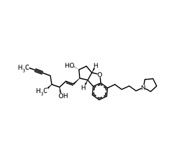 CC#CC[C@H](C)[C@H](O)/C=C/[C@@H]1[C@H]2c3cccc(CCCCN4CCCC4)c3O[C@H]2C[C@H]1O